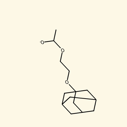 CC([O])OCCOC12CC3CC(CC(C3)C1)C2